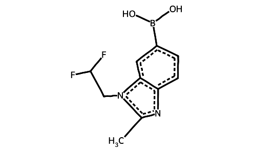 Cc1nc2ccc(B(O)O)cc2n1CC(F)F